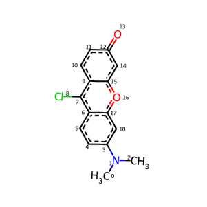 CN(C)c1ccc2c(Cl)c3ccc(=O)cc-3oc2c1